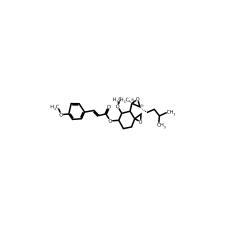 COc1ccc(C=CC(=O)OC2CCC3(CO3)C([C@@]3(C)O[C@@H]3CCC(C)C)C2OC)cc1